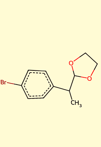 CC(c1ccc(Br)cc1)C1OCCO1